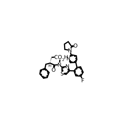 CN(C(=O)[C@@H](CC(=O)O)Cc1ccccc1)c1nc(-c2cc(F)ccc2-c2ccc(N3CCCC3=O)nc2)cs1